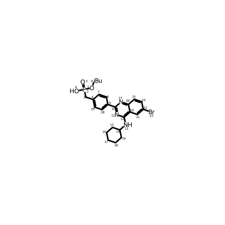 CCC(C)OP(=O)(O)Cc1ccc(-c2nc(NC3CCCCC3)c3cc(Br)ccc3n2)cc1